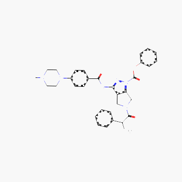 COC(C(=O)N1Cc2c(NC(=O)c3ccc(N4CCN(C)CC4)cc3)nn(C(=O)Oc3ccccc3)c2C1)c1ccccc1